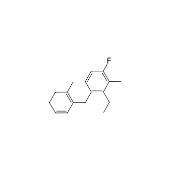 CCc1c(CC2=C(C)CCC=C2)ccc(F)c1C